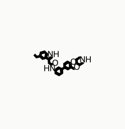 CCc1ccc2[nH]cc(CC(=O)Nc3cccc(-c4ccc5c(c4)COC4(CCNCC4)O5)c3)c2c1